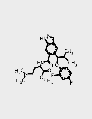 COC(=O)C(CCN(C)C)NC(=O)c1cc2[nH]ncc2cc1C(Oc1ccc(F)cc1F)C(C)C